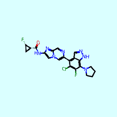 O=C(Nc1cn2cc(-c3c(Cl)c(F)c(N4CCCC4)c4[nH]ncc34)ncc2n1)[C@@H]1C[C@@H]1F